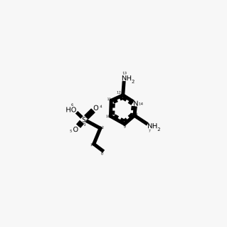 CCCS(=O)(=O)O.Nc1cccc(N)n1